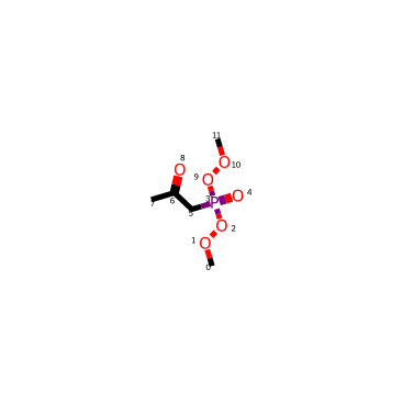 COOP(=O)(CC(C)=O)OOC